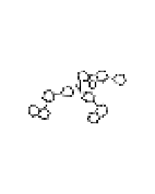 c1ccc(-c2ccc3c(c2)oc2c(N(c4ccc(-c5cccc(-c6cccc7ccccc67)c5)cc4)c4ccc(-c5cccc6ccccc56)cc4)cccc23)cc1